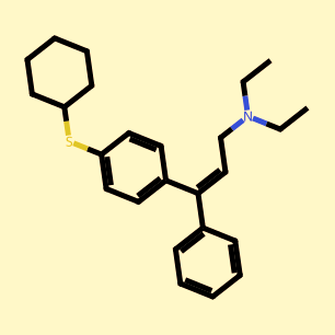 CCN(CC)CC=C(c1ccccc1)c1ccc(SC2CCCCC2)cc1